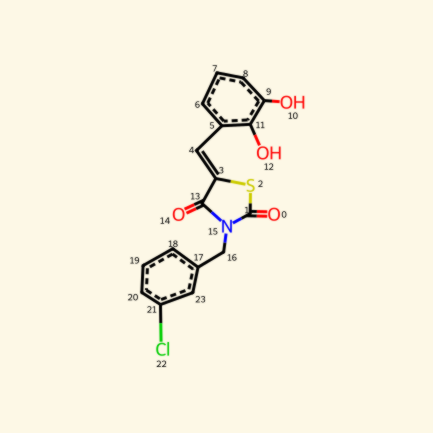 O=C1SC(=Cc2cccc(O)c2O)C(=O)N1Cc1cccc(Cl)c1